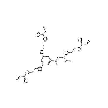 C=CC(=O)OCCO/C(C=C)=C/C(=C)c1cc(OCCOC(=O)C=C)cc(OCCOC(=O)C=C)c1